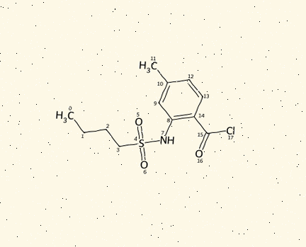 CCCCS(=O)(=O)Nc1cc(C)ccc1C(=O)Cl